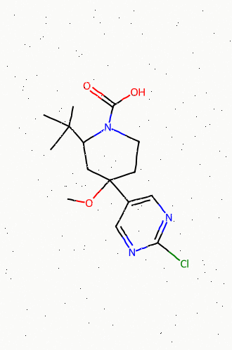 COC1(c2cnc(Cl)nc2)CCN(C(=O)O)C(C(C)(C)C)C1